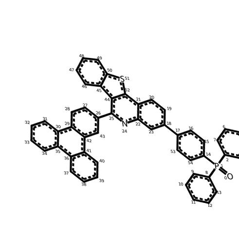 O=P(c1ccccc1)(c1ccccc1)c1ccc(-c2ccc3c(c2)nc(-c2ccc4c5ccccc5c5ccccc5c4c2)c2c4ccccc4sc32)cc1